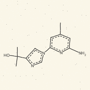 Cc1cc(N)nc(-n2cnc(C(C)(C)O)c2)c1